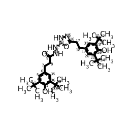 CC(C)(C)c1cc(CCC(=O)NNP2NN=C(CCc3cc(C(C)(C)C)c(O)c(C(C)(C)C)c3)O2)cc(C(C)(C)C)c1O